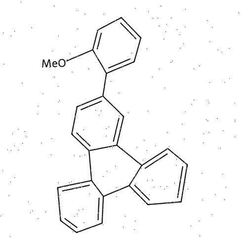 COc1ccccc1-c1ccc2c3ccccc3c3ccccc3c2c1